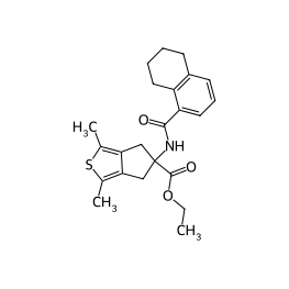 CCOC(=O)C1(NC(=O)c2cccc3c2CCCC3)Cc2c(C)sc(C)c2C1